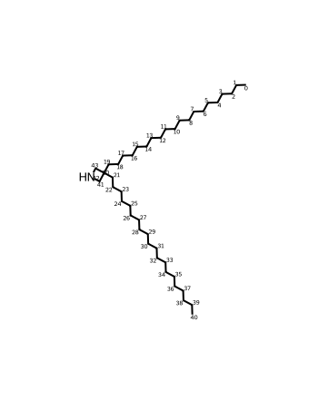 CCCCCCCCCCCCCCCCCCCCC1(CCCCCCCCCCCCCCCCCCCC)CNC1